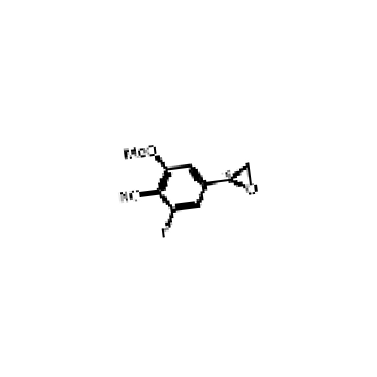 COc1cc([C@H]2CO2)cc(F)c1C#N